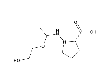 CC(NN1CCC[C@H]1C(=O)O)OCCO